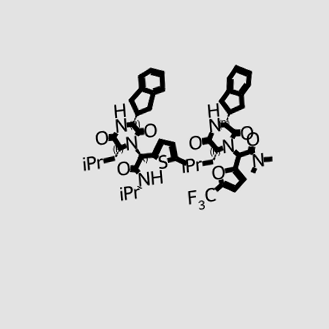 CC(C)C[C@@H]1C(=O)N[C@H](C2Cc3ccccc3C2)C(=O)N1C(C(=O)N(C)C)c1ccc(C(F)(F)F)o1.Cc1ccc([C@@H](C(=O)NC(C)C)N2C(=O)[C@@H](C3Cc4ccccc4C3)NC(=O)[C@H]2CC(C)C)s1